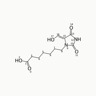 O=C(O)CCCCCCN1C(=O)NC(=O)/C1=C/O